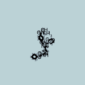 C[C@H]1COCCN1c1nc(Oc2ccc(C(=O)N(C)C)cc2)nc(-c2cnc(NC(=O)Oc3ccccc3)s2)n1